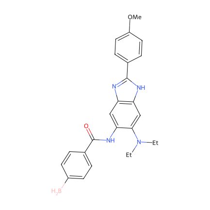 Bc1ccc(C(=O)Nc2cc3nc(-c4ccc(OC)cc4)[nH]c3cc2N(CC)CC)cc1